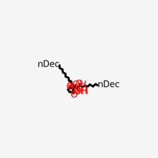 CCCCCCCCCCCCCCCCCC=CC(=O)C(O)(C(O)C(=O)CCCCCCCCCCCCCCCCC)C1(O)C(=O)CCC1=O